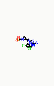 CC(c1ccc(Cl)cc1Cl)n1nc(C#N)c2ncc(N3CC(C4CCCN(CCCS(C)(=O)=O)C4)C3)nc21